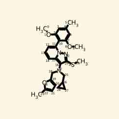 COc1cc(C)cc(OC)c1-c1cccc2c(N(Cc3ccc(C)o3)CC3CC3)c(SC)nn12